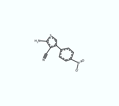 N#Cc1c(-c2ccc([N+](=O)[O-])cc2)csc1N